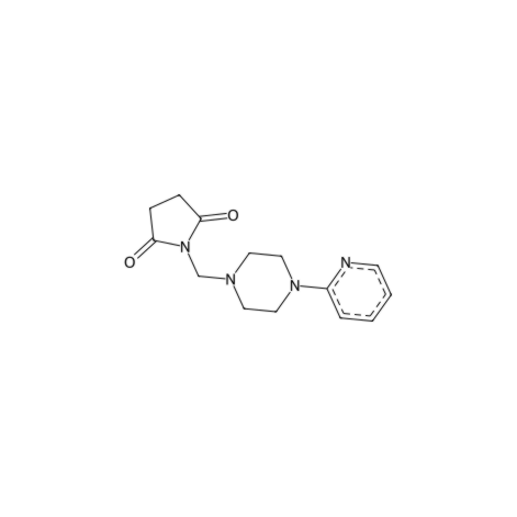 O=C1CCC(=O)N1CN1CCN(c2ccccn2)CC1